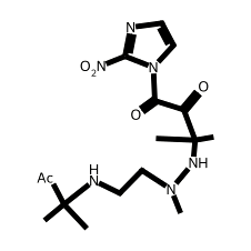 CC(=O)C(C)(C)NCCN(C)NC(C)(C)C(=O)C(=O)n1ccnc1[N+](=O)[O-]